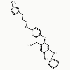 C[n+]1ccn(CCCNc2ccc(/N=C3/C=C(Nc4ccccc4)C(=N)C=C3CN)cc2)c1